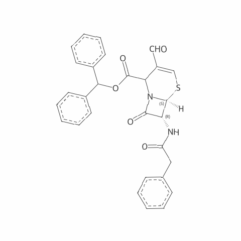 O=CC1=CS[C@H]2[C@H](NC(=O)Cc3ccccc3)C(=O)N2C1C(=O)OC(c1ccccc1)c1ccccc1